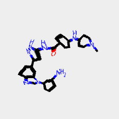 CN1CCC(Nc2ccc(C(=O)Nc3cc(-c4ccc5ncn(-c6cccc(N)c6)c5c4)n[nH]3)cc2)CC1